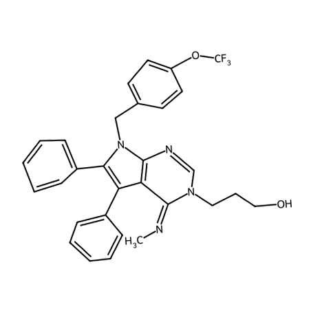 C/N=c1\c2c(-c3ccccc3)c(-c3ccccc3)n(Cc3ccc(OC(F)(F)F)cc3)c2ncn1CCCO